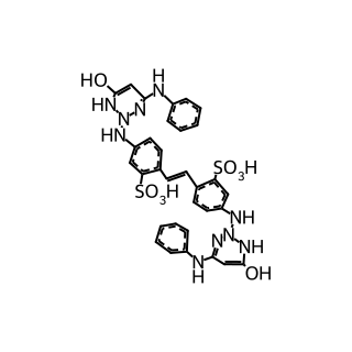 O=S(=O)(O)c1cc(NN2N=C(Nc3ccccc3)C=C(O)N2)ccc1C=Cc1ccc(NN2N=C(Nc3ccccc3)C=C(O)N2)cc1S(=O)(=O)O